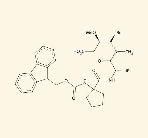 CC[C@H](C)[C@@H]([C@@H](CC(=O)O)OC)N(C)C(=O)[C@@H](NC(=O)C1(NC(=O)OCC2c3ccccc3-c3ccccc32)CCCC1)C(C)C